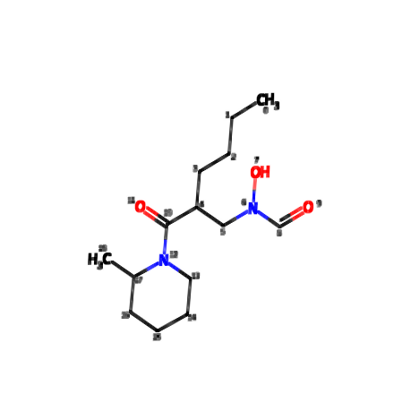 CCCCC(CN(O)C=O)C(=O)N1CCCCC1C